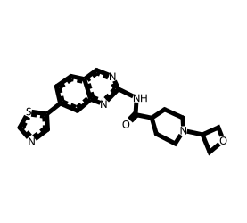 O=C(Nc1ncc2ccc(-c3cncs3)cc2n1)C1CCN(C2COC2)CC1